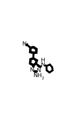 N#Cc1cccc(-c2ccc3nc(N)nc(NC4CCCCC4)c3c2)c1